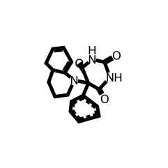 O=C1NC(=O)C(c2ccccc2)(N2CCCC3CC=CC=C32)C(=O)N1